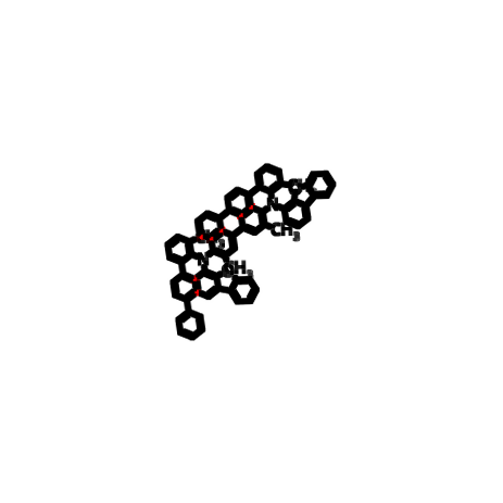 Cc1cc(-c2ccc(N(c3c(C)cccc3-c3ccc(-c4ccccc4)cc3)c3cccc4c3oc3ccccc34)c(C)c2)ccc1N(c1c(C)cccc1-c1ccc(-c2ccccc2)cc1)c1cccc2c1oc1ccccc12